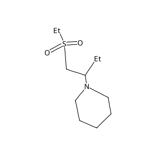 CCC(CS(=O)(=O)CC)N1CCCCC1